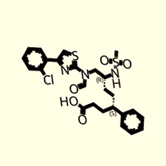 CS(=O)(=O)N[C@H](CC[C@@H](CCC(=O)O)c1ccccc1)CN(C=O)c1nc(-c2ccccc2Cl)cs1